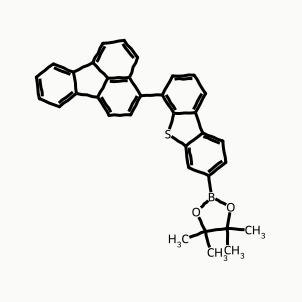 CC1(C)OB(c2ccc3c(c2)sc2c(-c4ccc5c6c(cccc46)-c4ccccc4-5)cccc23)OC1(C)C